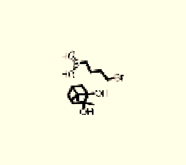 CC1(O)CCC2CC1(O)C2(C)C.OB(O)CCCCBr